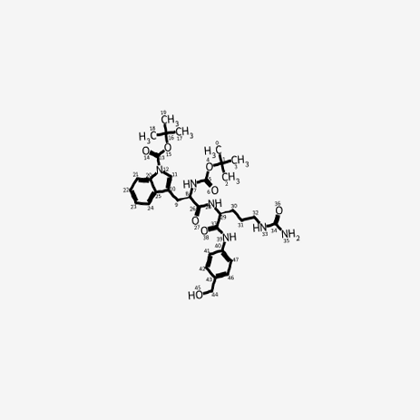 CC(C)(C)OC(=O)N[C@H](Cc1cn(C(=O)OC(C)(C)C)c2ccccc12)C(=O)N[C@@H](CCCNC(N)=O)C(=O)Nc1ccc(CO)cc1